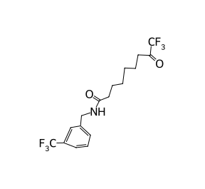 O=C(CCCCCCC(=O)C(F)(F)F)NCc1cccc(C(F)(F)F)c1